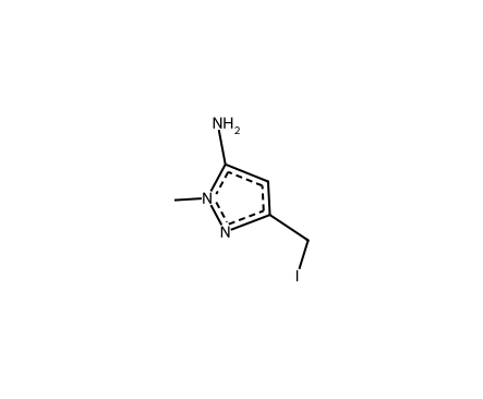 Cn1nc(CI)cc1N